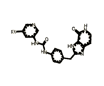 CCc1cncc(NC(=O)Nc2ccc(Cc3nc4cc[nH]c(=O)c4[nH]3)cc2)c1